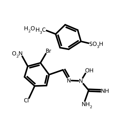 Cc1ccc(S(=O)(=O)O)cc1.N=C(N)N(O)N=Cc1cc(Cl)cc([N+](=O)[O-])c1Br.O